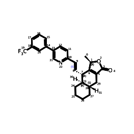 C[C@H]1OC(=O)C2=C1[C@@H](/C=C/c1ccc(-c3cccc(C(F)(F)F)c3)cn1)[C@@H]1CCCC[C@H]1C2